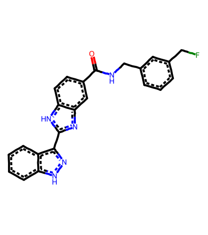 O=C(NCc1cccc(CF)c1)c1ccc2[nH]c(-c3n[nH]c4ccccc34)nc2c1